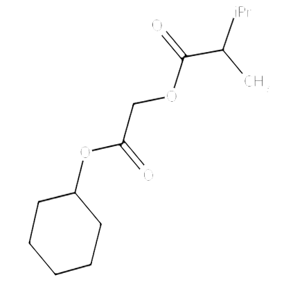 CC(C)C(C)C(=O)OCC(=O)OC1CCCCC1